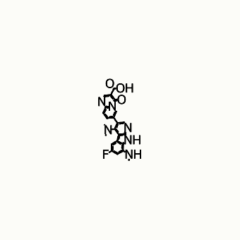 CNc1cc(F)cc2c1[nH]c1ncc(-c3ccc4ncc(C(=O)O)c(=O)n4c3)c(N(C)C)c12